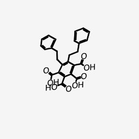 O=C(O)c1c(CCc2ccccc2)c(CCc2ccccc2)c(C(=O)O)c(C(=O)O)c1C(=O)O